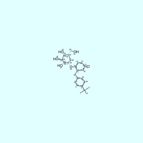 CC(C)(C)c1ccc(Cc2cc(Cl)ccc2O[C@H]2S[C@@H](CO)[C@@H](O)[C@H](O)[C@H]2O)cc1